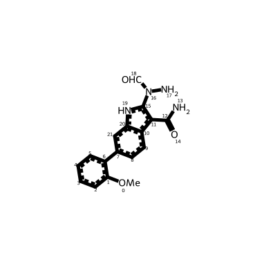 COc1ccccc1-c1ccc2c(C(N)=O)c(N(N)C=O)[nH]c2c1